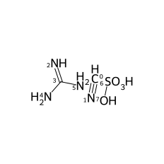 C#N.N=C(N)N.O=S(=O)(O)O